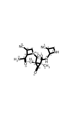 C[C@]1(C(=O)NC2NCC2C#N)C(=O)[C@]1(C)C(=O)N1CC(C#N)C1C(N)=O